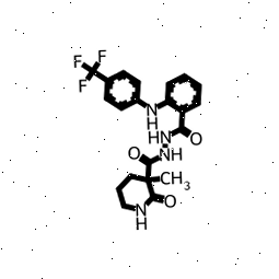 CC1(C(=O)NNC(=O)c2ccccc2Nc2ccc(C(F)(F)F)cc2)CCCNC1=O